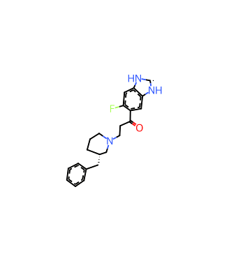 O=C(CCN1CCC[C@@H](Cc2ccccc2)C1)c1cc2c(cc1F)N[CH]N2